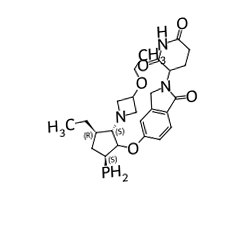 CCOC1CN([C@@H]2C(Oc3ccc4c(c3)CN(C3CCC(=O)NC3=O)C4=O)[C@@H](P)C[C@H]2CC)C1